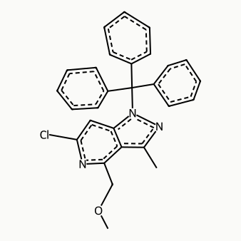 COCc1nc(Cl)cc2c1c(C)nn2C(c1ccccc1)(c1ccccc1)c1ccccc1